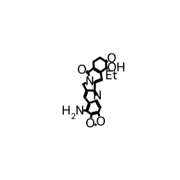 CC[C@@]1(O)C(=O)CCc2c1cc1n(c2=O)Cc2cc3c(N)c4c(cc3nc2-1)OCO4